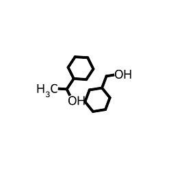 CC(O)C1CCCCC1.OCC1CCCCC1